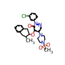 CC1Cc2ccccc2CC1Oc1c(N2CCN(S(C)(=O)=O)CC2)cnn(-c2cccc(Cl)c2)c1=O